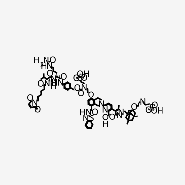 Cc1c(-c2ccc(N3CCc4c(OCCN(CCS(=O)(=O)O)C(=O)OCc5ccc(NC(=O)[C@H](CCCNC(N)=O)NC(=O)[C@@H](NC(=O)CCCCCN6C(=O)C=CC6=O)C(C)C)cc5)ccc(C(=O)Nc5nc6ccccc6s5)c4C3)nc2C(=O)O)cnn1CC12CC3(C)CC(C)(C1)CC(OCCN(C)CCS(=O)(=O)O)(C3)C2